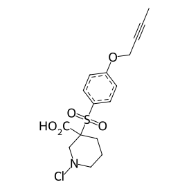 CC#CCOc1ccc(S(=O)(=O)C2(C(=O)O)CCCN(Cl)C2)cc1